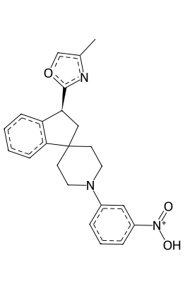 Cc1coc([C@H]2CC3(CCN(c4cccc([N+](=O)O)c4)CC3)c3ccccc32)n1